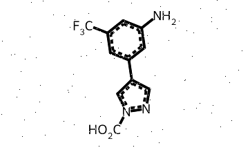 Nc1cc(-c2cnn(C(=O)O)c2)cc(C(F)(F)F)c1